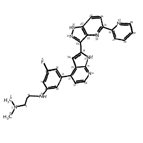 CN(C)CCNc1cc(F)cc(-c2ccnc3[nH]c(-c4n[nH]c5ccc(-c6ccccn6)nc45)cc23)c1